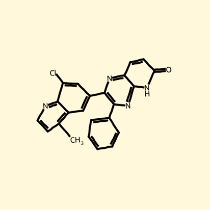 Cc1ccnc2c(Cl)cc(-c3nc4ccc(=O)[nH]c4nc3-c3ccccc3)cc12